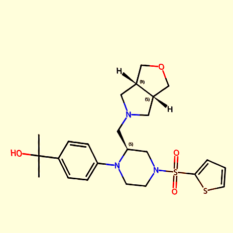 CC(C)(O)c1ccc(N2CCN(S(=O)(=O)c3cccs3)C[C@@H]2CN2C[C@H]3COC[C@H]3C2)cc1